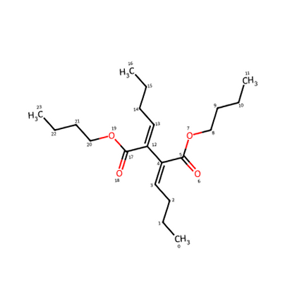 CCCC=C(C(=O)OCCCC)C(=CCCC)C(=O)OCCCC